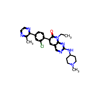 CCn1c(=O)c(-c2ccc(-c3nccnc3C)cc2Cl)cc2cnc(NC3CCN(C)CC3)nc21